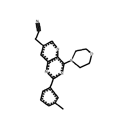 Cc1cccc(-c2nc(N3CCOCC3)c3ncc(CC#N)cc3n2)c1